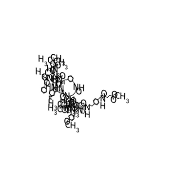 COC(=O)CCC(=O)NCc1ccc(CCNC(=O)[C@]2(C)CCCN2C(=O)[C@H](Cc2ccc(OC)cc2)NC(=O)[C@@H](NC(=O)C2CCC(=O)NCc3cccc(c3)C[C@H](NC(=O)[C@@H](CNC(=O)OC(C)(C)C)NC(=O)C(C)NC(=O)OCc3ccccc3)C(=O)N[C@@H](Cc3c[nH]c4ccc(F)cc34)C(=O)N2C)[C@@H](C)OC(C)(C)C)cc1